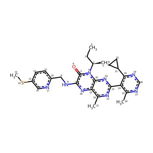 CC[C@@H](C)n1c(=O)c(NCc2ccc(SC)cn2)nc2c(C)nc(-c3c(C)ncnc3C3CC3)nc21